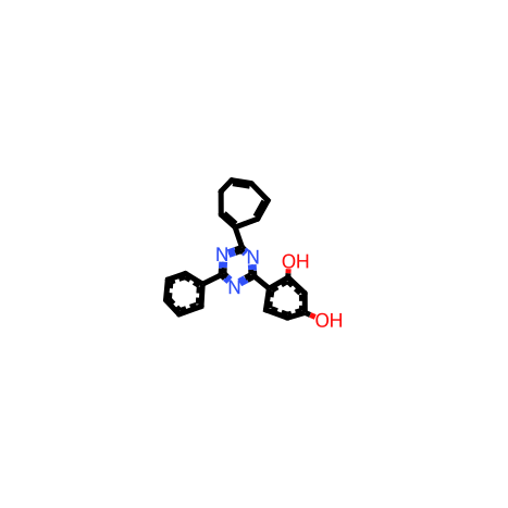 Oc1ccc(-c2nc(C3=CCC=CC=C3)nc(-c3ccccc3)n2)c(O)c1